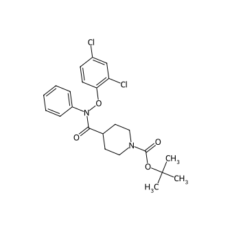 CC(C)(C)OC(=O)N1CCC(C(=O)N(Oc2ccc(Cl)cc2Cl)c2ccccc2)CC1